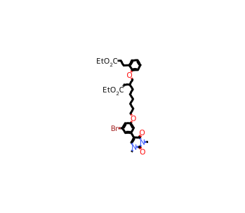 CCOC(=O)CCc1ccccc1OCC(CCCCCCOc1cc(Br)cc(-c2cn(C)c(=O)n(C)c2=O)c1)CC(=O)OCC